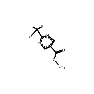 COC(=O)c1cnc(C(F)(F)F)nc1